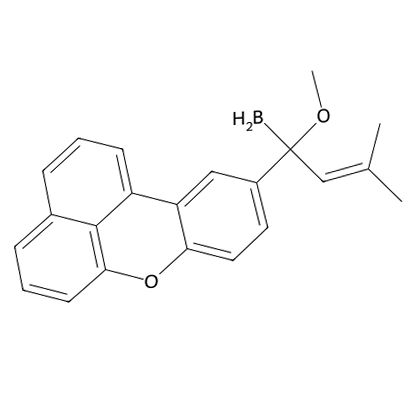 BC(C=C(C)C)(OC)c1ccc2c(c1)-c1cccc3cccc(c13)O2